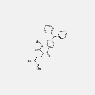 CC(C)(C)OC(=O)C(CCC(O)OC(C)(C)C)C(=O)c1ccc(C(c2ccccc2)c2ccccc2)cc1